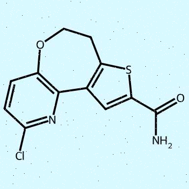 NC(=O)c1cc2c(s1)CCOc1ccc(Cl)nc1-2